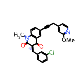 COc1cc(CC#Cc2ccc3c(c2)C(=O)/C(=C\c2cccc(Cl)c2)C(=O)N3C)ccn1